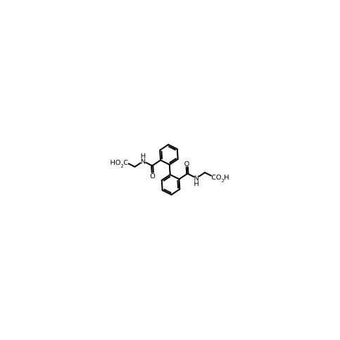 O=C(O)CNC(=O)c1ccccc1-c1ccccc1C(=O)NCC(=O)O